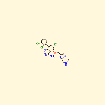 Cl.Nc1ncnc2c(-c3cccc(Cl)c3Cl)ccc(OCc3cn4c(n3)CNCC4)c12